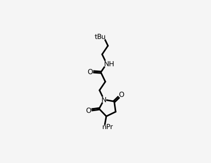 CCCC1CC(=O)N(CCC(=O)NCCC(C)(C)C)C1=O